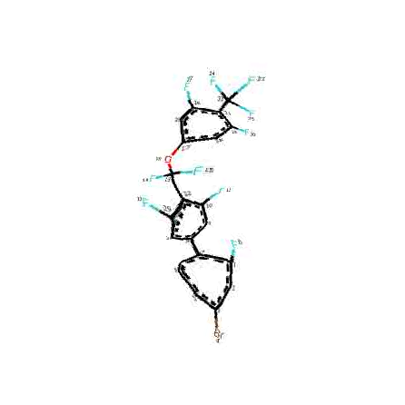 Fc1cc(Br)ccc1-c1cc(F)c(C(F)(F)Oc2cc(F)c(C(F)(F)F)c(F)c2)c(F)c1